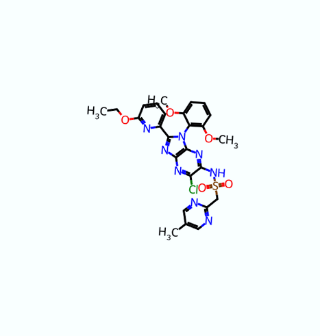 CCOc1cccc(-c2nc3nc(Cl)c(NS(=O)(=O)Cc4ncc(C)cn4)nc3n2-c2c(OC)cccc2OC)n1